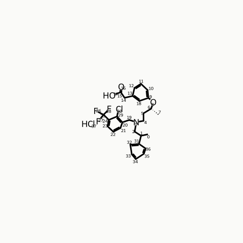 CC(CN(CC[C@@H](C)Oc1cccc(CC(=O)O)c1)Cc1cccc(C(F)(F)F)c1Cl)c1ccccc1.Cl